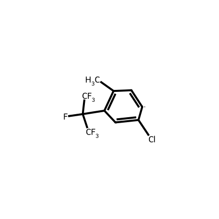 Cc1c[c]c(Cl)cc1C(F)(C(F)(F)F)C(F)(F)F